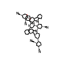 N#Cc1ccc(-c2ccc3c(c2)c2ccccc2n3-c2cc(C#N)cc(-n3c4ccccc4c4cc(-c5ccc(C#N)cc5C#N)ccc43)c2-c2cc(-c3ccccc3)nc(-c3ccccc3)n2)c(C#N)c1